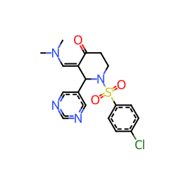 CN(C)C=C1C(=O)CCN(S(=O)(=O)c2ccc(Cl)cc2)C1c1cncnc1